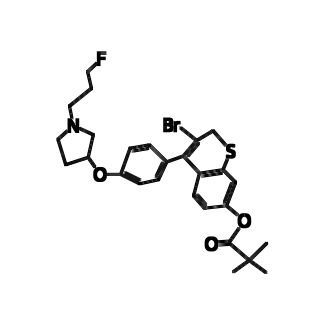 CC(C)(C)C(=O)Oc1ccc2c(c1)SCC(Br)=C2c1ccc(OC2CCN(CCCF)C2)cc1